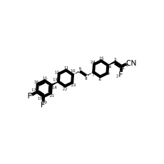 N#CC(F)=C[C@H]1CC[C@H](CC[C@H]2CC[C@H](c3ccc(F)c(F)c3)CC2)CC1